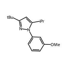 COc1cccc(-n2nc(C(C)(C)C)cc2C(C)C)c1